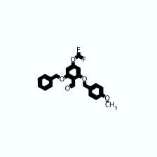 COc1ccc(COc2cc(OC(F)F)cc(OCc3ccccc3)c2C=O)cc1